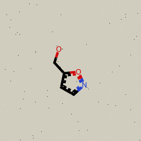 [O]Cc1ccno1